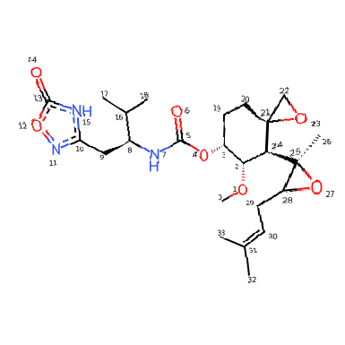 CO[C@@H]1[C@H](OC(=O)N[C@@H](Cc2noc(=O)[nH]2)C(C)C)CC[C@]2(CO2)[C@H]1[C@@]1(C)OC1CC=C(C)C